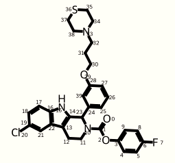 O=C(Oc1ccc(F)cc1)N1CCc2c([nH]c3ccc(Cl)cc23)C1c1cccc(OCCCN2CCSCC2)c1